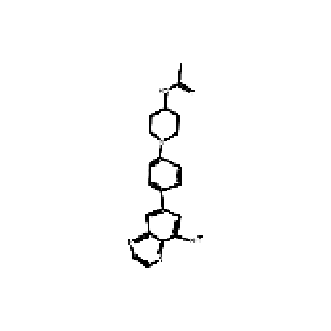 CNc1nc(-c2ccc(N3CCC(NC(C)=O)CC3)cc2)cc2nccnc12